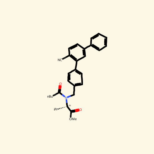 CCCCC(=O)N(Cc1ccc(-c2cc(-c3ccccc3)ccc2C#N)cc1)[C@H](C(=O)OC)C(C)C